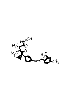 Cc1ccc(COc2ccc(C3(C(=O)N(C)[C@@H](C)C(=O)NO)CC3)cc2)c(C)c1